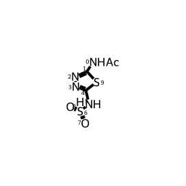 CC(=O)Nc1nnc(N[SH](=O)=O)s1